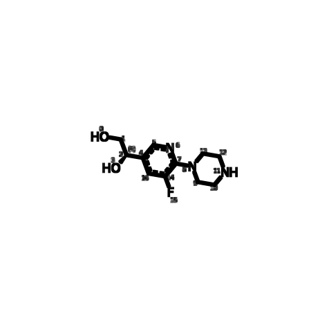 OC[C@H](O)c1cnc(N2CCNCC2)c(F)c1